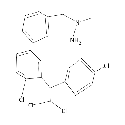 CN(N)Cc1ccccc1.Clc1ccc(C(c2ccccc2Cl)C(Cl)Cl)cc1